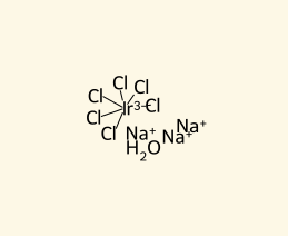 O.[Cl][Ir-3]([Cl])([Cl])([Cl])([Cl])[Cl].[Na+].[Na+].[Na+]